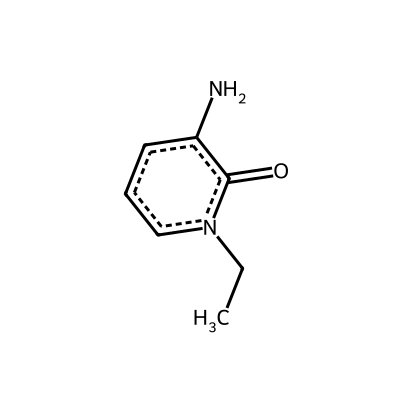 CCn1cccc(N)c1=O